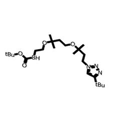 CC(C)(C)OC(=O)BCCOC(C)(C)CCOC(C)(C)CCn1cc(C(C)(C)C)nn1